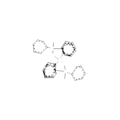 Cl[Si](O[Si](O[Si](Cl)(c1ccccc1)c1ccccc1)(c1ccccc1)c1ccccc1)(c1ccccc1)c1ccccc1